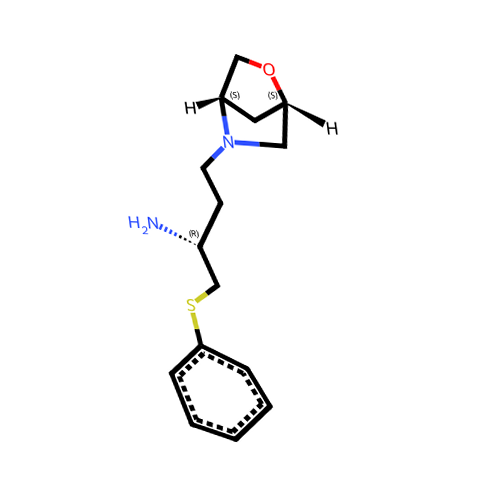 N[C@H](CCN1C[C@@H]2C[C@H]1CO2)CSc1ccccc1